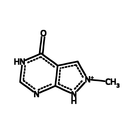 C[n+]1cc2c(=O)[nH]cnc2[nH]1